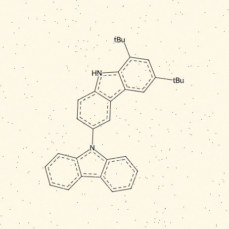 CC(C)(C)c1cc(C(C)(C)C)c2[nH]c3ccc(-n4c5ccccc5c5ccccc54)cc3c2c1